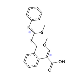 CO/C=C(/C(=O)O)c1ccccc1CS/C(=N/c1ccccc1)SC